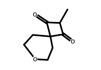 CC1C(=O)C2(CCOCC2)C1=O